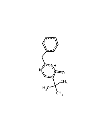 CC(C)(C)c1cnc(Cc2ccccc2)[nH]c1=O